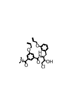 C=CCOc1cccc(C[C@H](NC(=O)c2cc(OCC=C)cc(C(=O)N(C)C)c2)[C@H](O)CCl)c1